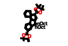 C=C1OB(c2ccc3c(c2)C(CCCCCCCC)(CCCCCCCC)c2cc(B4OC(C)(C)C(C)(C)O4)c4ccccc4c2-3)OC1(C)C